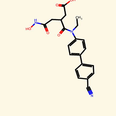 CCN(C(=O)C(CC(=O)O)CC(=O)NO)c1ccc(-c2ccc(C#N)cc2)cc1